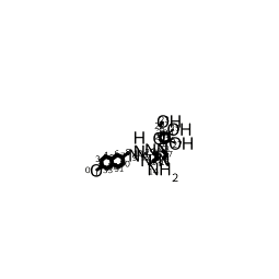 COc1ccc2cc(C=NNc3nc(N)c4ncn([C@@H]5O[C@H](CO)[C@@H](O)[C@H]5O)c4n3)ccc2c1